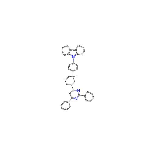 CC1(c2ccc(-n3c4ccccc4c4ccccc43)cc2)C=CC=C(c2cc(-c3ccccc3)nc(-c3ccccc3)n2)C1